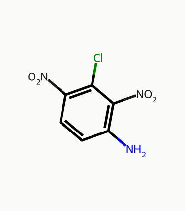 Nc1ccc([N+](=O)[O-])c(Cl)c1[N+](=O)[O-]